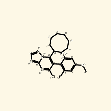 COc1cc(F)c(-c2c(Cl)nc3ncnn3c2C2CCCCCCC2)c(F)c1